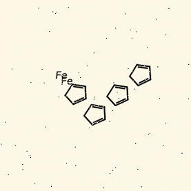 C1=CCC=C1.C1=CCC=C1.C1=CCC=C1.C1=CCC=C1.[Fe].[Fe]